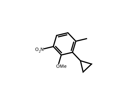 COc1c([N+](=O)[O-])ccc(C)c1C1CC1